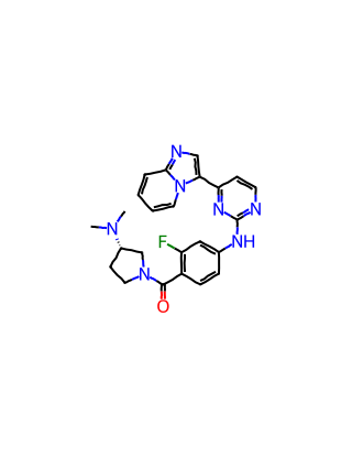 CN(C)[C@H]1CCN(C(=O)c2ccc(Nc3nccc(-c4cnc5ccccn45)n3)cc2F)C1